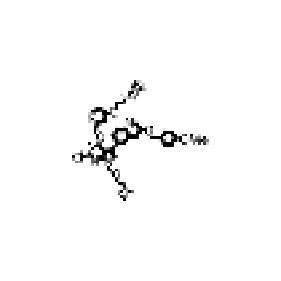 COc1ccc(COc2cnc3ccc(-c4cn(COCC[Si](C)(C)C)c5nc(Cl)nc(OCc6cc(OCCO[Si](C)(C)C(C)(C)C)ccn6)c45)cc3c2)cc1